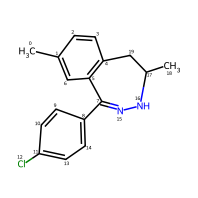 Cc1ccc2c(c1)C(c1ccc(Cl)cc1)=NNC(C)C2